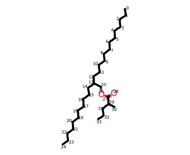 CCCCCCCCCCCCCC(CCCCCCCCCCC)COC(=O)C(C)CCC